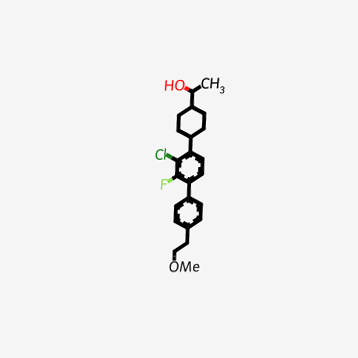 COCCc1ccc(-c2ccc(C3CCC(C(C)O)CC3)c(Cl)c2F)cc1